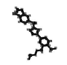 COCCOc1cc(-c2cnc(Nc3ccc4[nH]ncc4c3)o2)ccc1OC